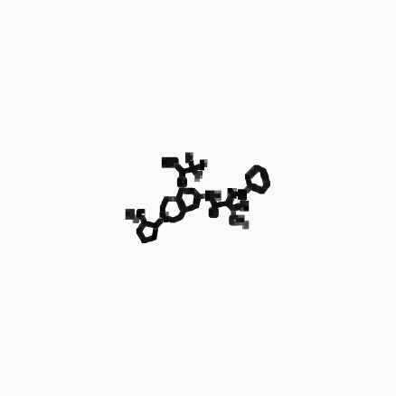 Cc1nn(-c2ccccc2)nc1C(=O)Nc1ccc2c(c1)CCN(C1CCCC1C)CC2.O=C(O)C(F)(F)F